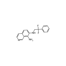 Nc1c(NCC(F)(F)c2ccccc2)ccc2ccncc12